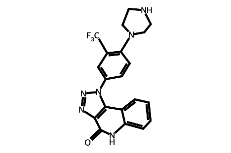 O=c1[nH]c2ccccc2c2c1nnn2-c1ccc(N2CCNCC2)c(C(F)(F)F)c1